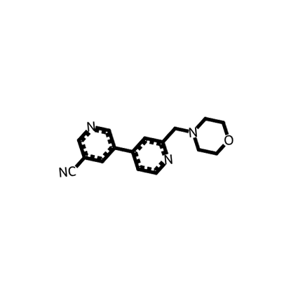 N#Cc1cncc(-c2ccnc(CN3CCOCC3)c2)c1